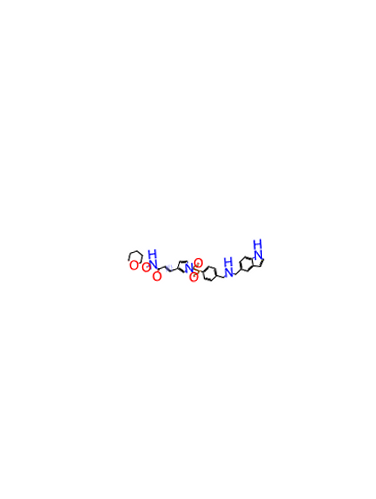 O=C(/C=C/c1ccn(S(=O)(=O)c2ccc(CNCc3ccc4[nH]ccc4c3)cc2)c1)NOC1CCCCO1